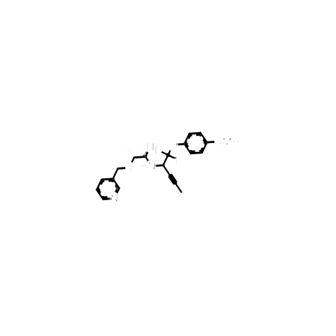 CC#CC(NC(CSCc1cccnc1)C(=O)O)C(F)(F)Oc1ccc(SC)cc1